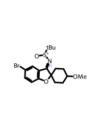 COC1CCC2(CC1)Oc1ccc(Br)cc1/C2=N\[S+]([O-])C(C)(C)C